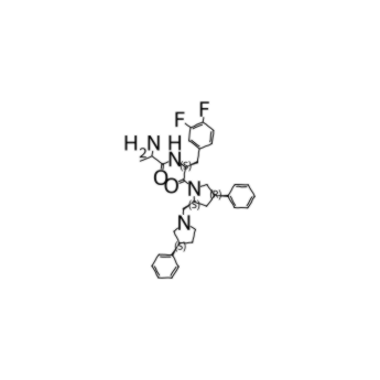 CC(N)C(=O)N[C@@H](Cc1ccc(F)c(F)c1)C(=O)N1C[C@@H](c2ccccc2)C[C@H]1CN1CC[C@@H](c2ccccc2)C1